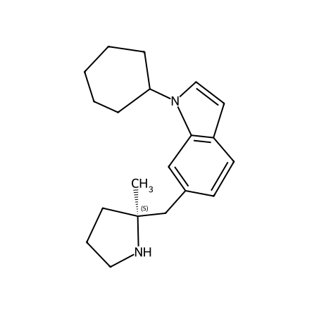 C[C@@]1(Cc2ccc3ccn(C4CCCCC4)c3c2)CCCN1